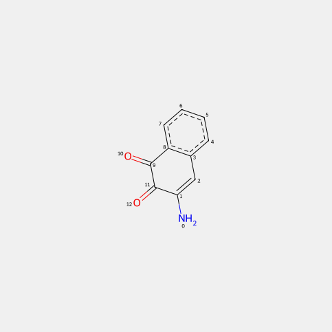 NC1=Cc2ccccc2C(=O)C1=O